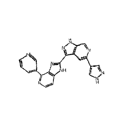 c1cncc(-c2nccc3[nH]c(-c4n[nH]c5cnc(-c6cn[nH]c6)cc45)nc23)c1